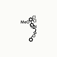 COc1ccc(Cl)c(Cl)c1-c1ccn2cc(C=C3CC(OCc4ccccc4)C3)nc2c1